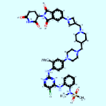 COc1cc(N2CCN(CC3CCN(CC4CN(c5ccc6c(c5)C(=O)N(C5CCC(=O)NC5=O)C6=O)C4)CC3)CC2)ccc1Nc1ncc(Cl)c(Nc2ccccc2N(C)S(C)(=O)=O)n1